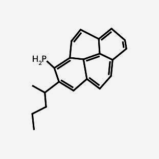 CCCC(C)c1cc2ccc3cccc4ccc(c1P)c2c34